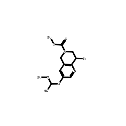 CCC1CN(C(=O)OC(C)(C)C)Cc2cc(OC(O)OC(C)(C)C)cnc21